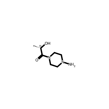 C[C@H](O)C(=O)N1CCN(N)CC1